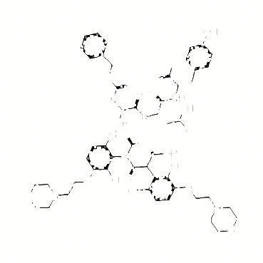 CC(C)C[C@H](NC(=O)[C@@H](C)NC(=O)OCc1ccccc1)C(=O)N[C@@H](Cc1ccc(O)cc1)C(=O)O.O=C(O)C(C(=O)C(C(=O)O)c1c(Cl)ccc(OCCN2CCOCC2)c1Cl)c1c(Cl)ccc(OCCN2CCOCC2)c1Cl